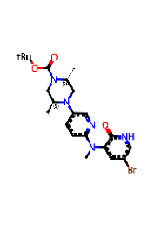 C[C@@H]1CN(c2ccc(N(C)c3cc(Br)c[nH]c3=O)nc2)[C@@H](C)CN1C(=O)OC(C)(C)C